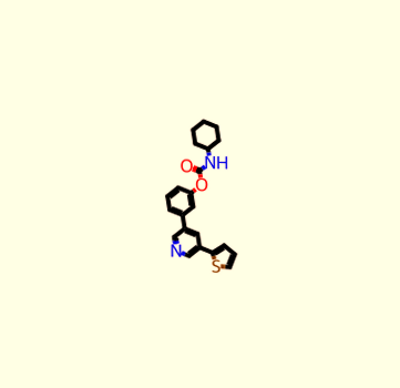 O=C(NC1CCCCC1)Oc1cccc(-c2cncc(-c3cccs3)c2)c1